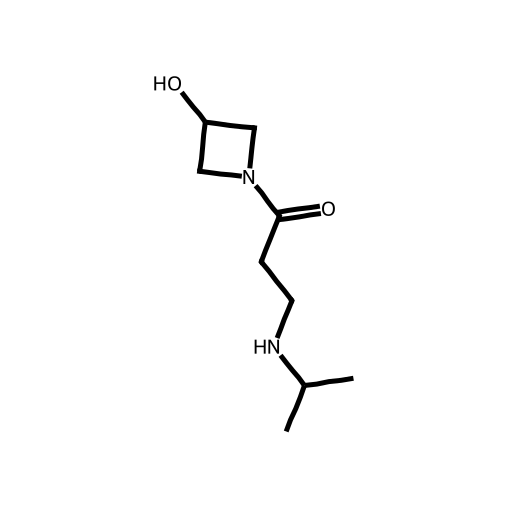 CC(C)NCCC(=O)N1CC(O)C1